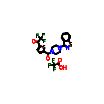 O=C(O)C(F)(F)F.O=C(c1ccc(C(=O)C(F)(F)F)s1)N1CCN(c2nsc3ccccc23)CC1